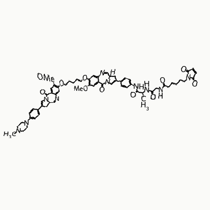 COc1cc2c(cc1OCCCCCOc1cc3c(cc1OC)C(=O)N1C=C(c4ccc(NC(=O)[C@H](C)NC(=O)CNC(=O)CCCCCN5C(=O)C=CC5=O)cc4)C[C@H]1C=N3)N=CC1CC(c3ccc(N4CCN(C)CC4)cc3)=CN1C2=O